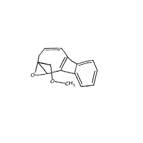 COCC12C=CC3=C(c4ccccc43)C1O2